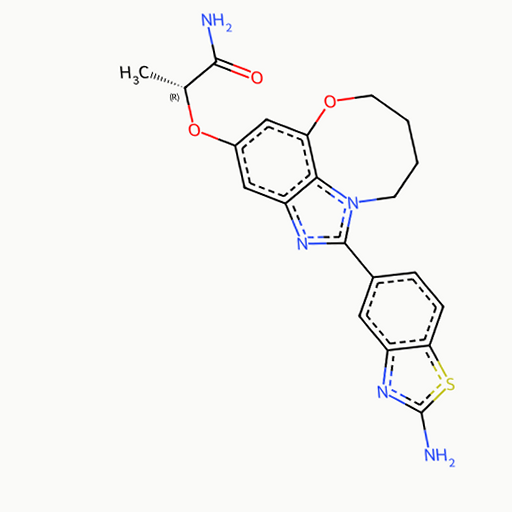 C[C@@H](Oc1cc2c3c(c1)nc(-c1ccc4sc(N)nc4c1)n3CCCCO2)C(N)=O